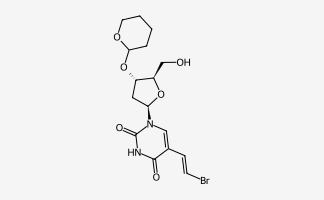 O=c1[nH]c(=O)n([C@H]2C[C@H](OC3CCCCO3)[C@@H](CO)O2)cc1C=CBr